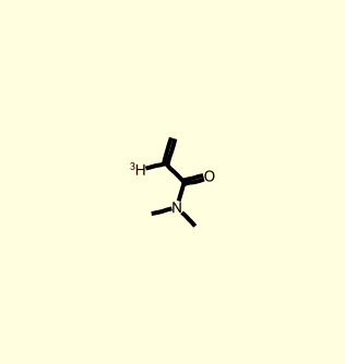 [3H]C(=C)C(=O)N(C)C